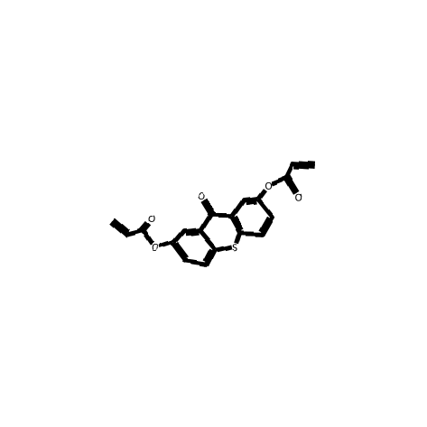 C=CC(=O)Oc1ccc2sc3ccc(OC(=O)C=C)cc3c(=O)c2c1